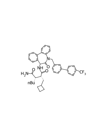 CCCC[C@H](C(N)=O)[C@@H](CC1CCC1)C(=O)NC1C(=O)N(Cc2cccc(-c3ccc(C(F)(F)F)cc3)c2)c2ccccc2-c2ccccc21